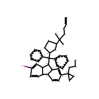 C=CCCC(C)(C)C1CCC(C(c2ccccc2)(c2ccccc2)C2C3C=C(I)C=CC3C3C=CC(C4(CCC)CC4)=CC32)C1